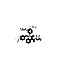 C=C(NCC(F)F)C(C(=C)N(CCc1ccc(C(F)(F)F)cc1)c1ccc(OC)c(OC)c1)c1ccccc1